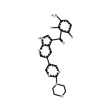 Nc1ccc(F)c(C(=O)c2c[nH]c3ncc(-c4cnc(N5CCOCC5)nc4)cc23)c1F